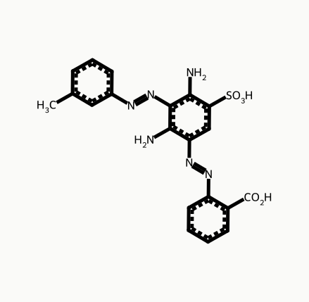 Cc1cccc(/N=N/c2c(N)c(/N=N/c3ccccc3C(=O)O)cc(S(=O)(=O)O)c2N)c1